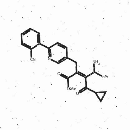 CCCC(N)/C(C(=O)C1CC1)=C(\Cc1ccc(-c2ccccc2C#N)nc1)C(=O)OC